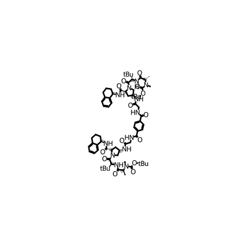 C[C@@H](C(=O)N[C@H](C(=O)N1C[C@@H](NC(=O)CNC(=O)c2ccc(C(=O)NCC(=O)N[C@H]3C[C@@H](C(=O)N[C@@H]4CCCc5ccccc54)N(C(=O)[C@@H](NC(=O)[C@H](C)N(C)C(=O)OC(C)(C)C)C(C)(C)C)C3)cc2)C[C@H]1C(=O)N[C@@H]1CCCc2ccccc21)C(C)(C)C)N(C)C(=O)OC(C)(C)C